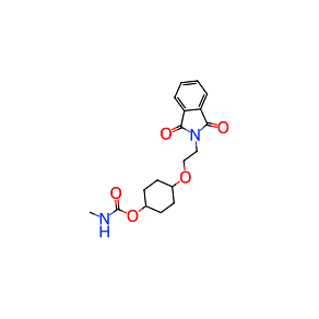 CNC(=O)OC1CCC(OCCN2C(=O)c3ccccc3C2=O)CC1